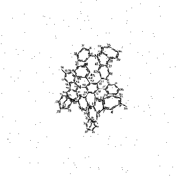 Cc1ccc2c(c1)c1cc(C)ccc1n2-c1c(-c2ccccc2)c(-c2ccc3c4ccccc4n(-c4ccccc4)c3c2)c(-c2ccccc2)c(-n2c3ccc(C)cc3c3cc(C)ccc32)c1-c1cc(-c2ccccc2)nc(-c2ccccc2)n1